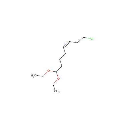 CCOC(CCC/C=C\CCCl)OCC